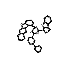 c1ccc(-c2cccc(-c3nc(-c4cccc5c4sc4ccccc45)nc(-c4cccc5oc6cc7ccccc7cc6c45)n3)c2)cc1